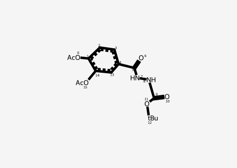 CC(=O)Oc1ccc(C(=O)NNC(=O)OC(C)(C)C)cc1OC(C)=O